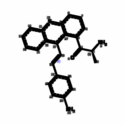 C[C@H](N)C(=O)c1cccc2nc3ccccc3c(/C=C/c3ccc(N)cc3)c12